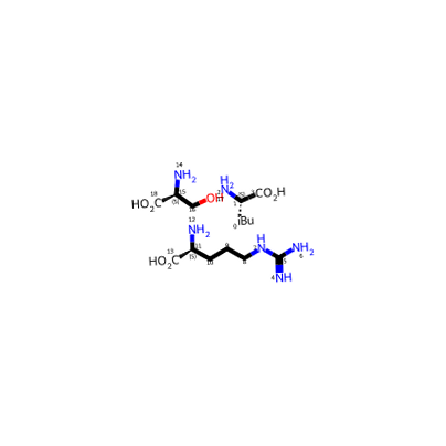 CCC(C)[C@H](N)C(=O)O.N=C(N)NCCC[C@H](N)C(=O)O.N[C@@H](CO)C(=O)O